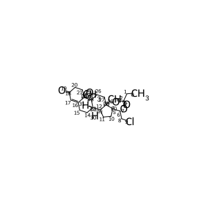 CCC(=O)O[C@]1(C(=O)CCl)CC[C@H]2[C@@H]3CCC4=CC(=O)CC[C@]4(C)[C@]34OC4C[C@@]21C